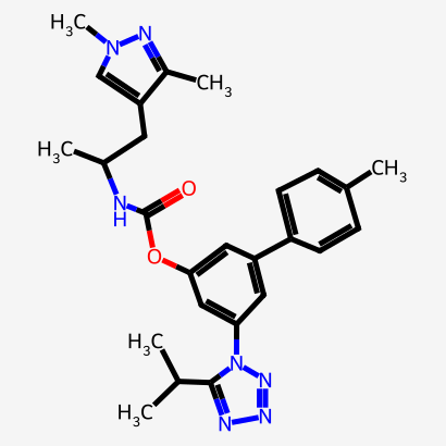 Cc1ccc(-c2cc(OC(=O)NC(C)Cc3cn(C)nc3C)cc(-n3nnnc3C(C)C)c2)cc1